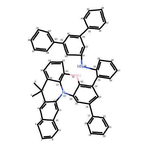 CC1(C)c2cc3ccccc3cc2N2c3cc(-c4ccccc4)cc(-c4ccccc4Nc4cc(-c5ccccc5)cc(-c5ccccc5)c4)c3Bc3cccc1c32